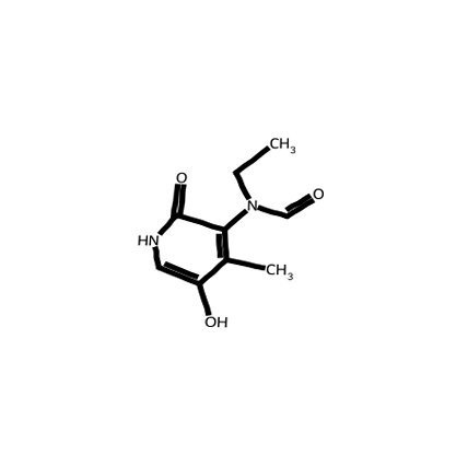 CCN(C=O)c1c(C)c(O)c[nH]c1=O